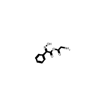 NCC(=O)OC(=O)C(=NO)c1ccccc1